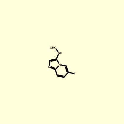 O=CNc1cnc2ccc(F)cn12